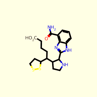 NC(=O)c1cccc2[nH]c(C3NCCC3C(CCCC(=O)O)C3CCSS3)nc12